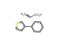 C=CC(=O)O.c1ccc(-c2ccsc2)cc1